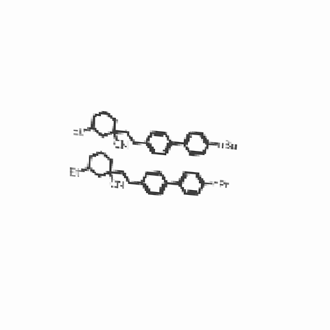 CCCCc1ccc(-c2ccc(CCC3(C#N)CCCC(CC)C3)cc2)cc1.CCCc1ccc(-c2ccc(CCC3(C#N)CCCC(CC)C3)cc2)cc1